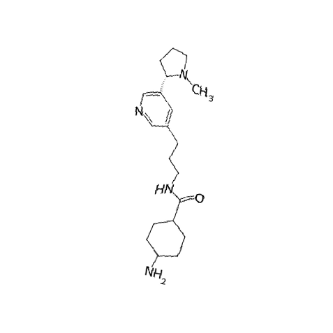 CN1CCC[C@H]1c1cncc(CCCNC(=O)C2CCC(N)CC2)c1